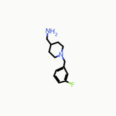 NCC1CCN(Cc2cccc(F)c2)CC1